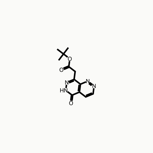 CC(C)(C)OC(=O)Cc1n[nH]c(=O)c2ccnnc12